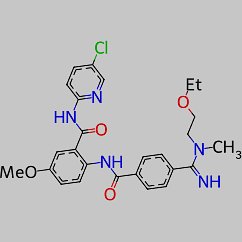 CCOCCN(C)C(=N)c1ccc(C(=O)Nc2ccc(OC)cc2C(=O)Nc2ccc(Cl)cn2)cc1